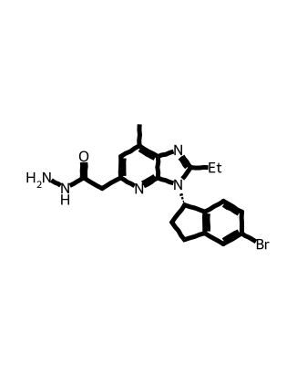 CCc1nc2c(C)cc(CC(=O)NN)nc2n1[C@H]1CCc2cc(Br)ccc21